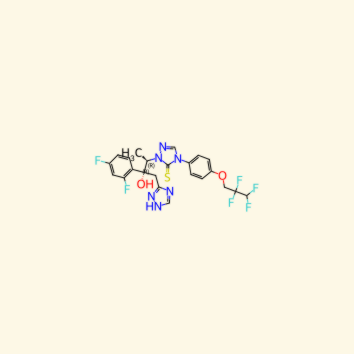 C[C@@H](n1ncn(-c2ccc(OCC(F)(F)C(F)F)cc2)c1=S)[C@@](O)(Cc1nc[nH]n1)c1ccc(F)cc1F